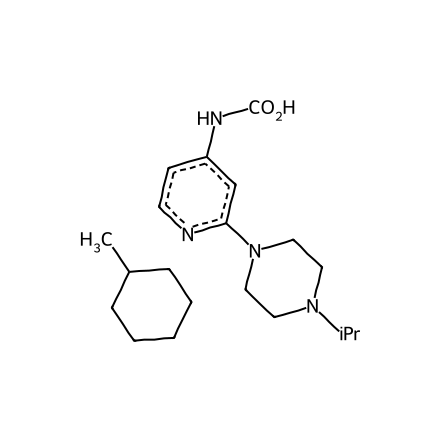 CC(C)N1CCN(c2cc(NC(=O)O)ccn2)CC1.CC1CCCCC1